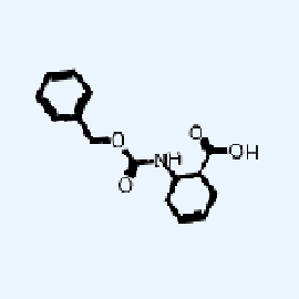 O=C(NC1CC=CC[C@@H]1C(=O)O)OCc1ccccc1